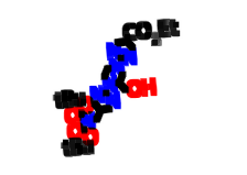 CCOC(=O)c1cnc(N2CCN(c3ncc(CN(C(=O)OC(C)(C)C)C(=O)OC(C)(C)C)cn3)C(CO)C2)nc1